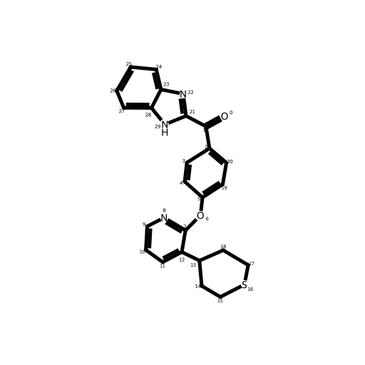 O=C(c1ccc(Oc2ncccc2C2CCSCC2)cc1)c1nc2ccccc2[nH]1